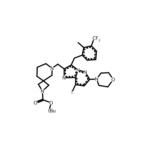 Cc1c(Cc2c(CN3CCCC4(C3)CN(C(=O)OC(C)(C)C)C4)nc3c(I)cc(N4CCOCC4)nn23)cccc1C(F)(F)F